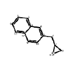 c1ccc2cc(CC3CS3)ccc2c1